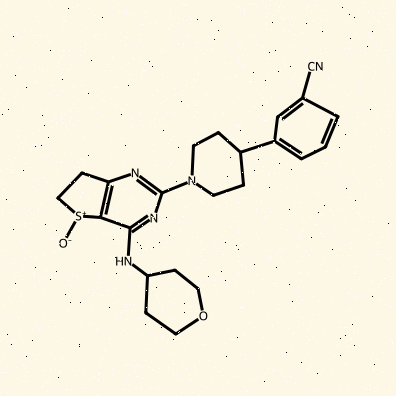 N#Cc1cccc(C2CCN(c3nc4c(c(NC5CCOCC5)n3)[S+]([O-])CC4)CC2)c1